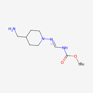 CC(C)(C)OC(=O)N/C=N/N1CCC(CN)CC1